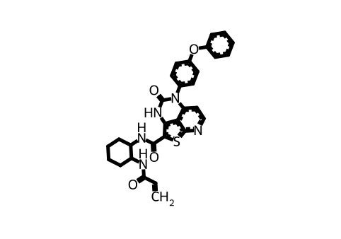 C=CC(=O)NC1CCCCC1NC(=O)c1sc2nccc3c2c1NC(=O)N3c1ccc(Oc2ccccc2)cc1